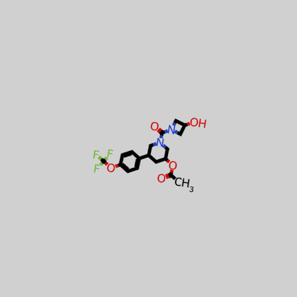 CC(=O)OC1CC(c2ccc(OC(F)(F)F)cc2)CN(C(=O)N2CC(O)C2)C1